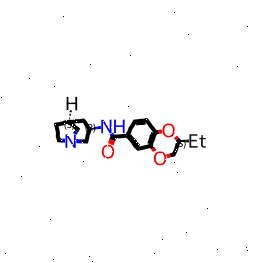 CC[C@H]1COc2cc(C(=O)N[C@@H]3C[C@@H]4CCN(C4)C3)ccc2O1